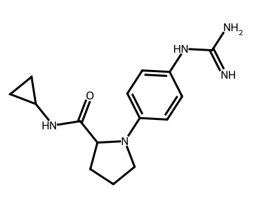 N=C(N)Nc1ccc(N2CCCC2C(=O)NC2CC2)cc1